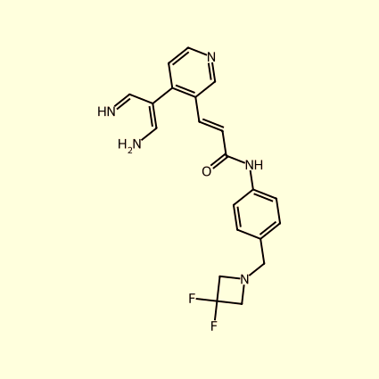 N=C/C(=C\N)c1ccncc1/C=C/C(=O)Nc1ccc(CN2CC(F)(F)C2)cc1